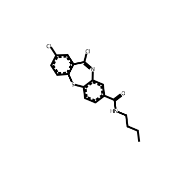 CCCCNC(=O)c1ccc2c(c1)N=C(Cl)c1cc(Cl)ccc1S2